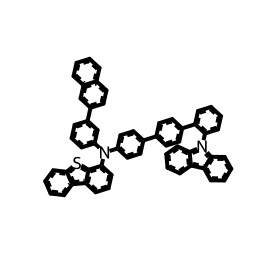 c1cc(-c2ccc3ccccc3c2)cc(N(c2ccc(-c3ccc(-c4ccccc4-n4c5ccccc5c5ccccc54)cc3)cc2)c2cccc3c2sc2ccccc23)c1